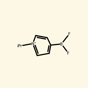 CC(C)[n+]1ccc(B(F)F)cc1